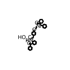 O=C(c1ccccc1)c1ccccc1N[C@@H](Cc1ccc(OCCNC(=O)C2(Cc3ccccc3)CCCCC2)cc1)C(=O)O